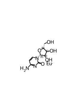 Nc1ccn([C@@H]2O[C@H](CO)[C@@H](O)[C@H]2O)c(=O)n1.[Eu]